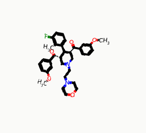 COc1cccc(C(=O)[C@H]2CN(CCN3CCOCC3)C[C@H](C(=O)c3cccc(OC)c3)C2c2cccc(F)c2C)c1